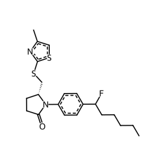 CCCCCC(F)c1ccc(N2C(=O)CC[C@@H]2CSc2nc(C)cs2)cc1